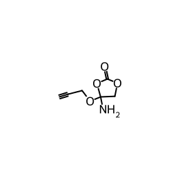 C#CCOC1(N)COC(=O)O1